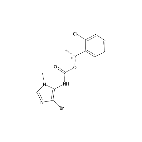 C[C@@H](OC(=O)Nc1c(Br)ncn1C)c1ccccc1Cl